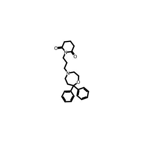 O=C1CCCC(=O)N1CCCN1CCOC(c2ccccc2)(c2ccccc2)CC1